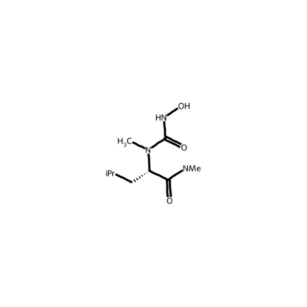 CNC(=O)[C@H](CC(C)C)N(C)C(=O)NO